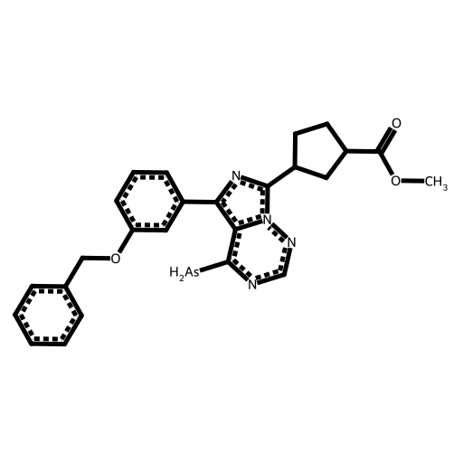 COC(=O)C1CCC(c2nc(-c3cccc(OCc4ccccc4)c3)c3c([AsH2])ncnn23)C1